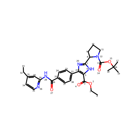 CCOC(=O)c1[nH]c(C2CCCN2C(=O)OC(C)(C)C)nc1-c1ccc(C(=O)Nc2cc(CC)ccn2)cc1